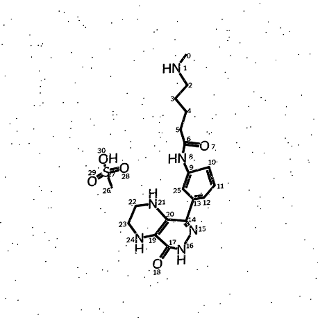 CNCCCCC(=O)Nc1cccc(-c2n[nH]c(=O)c3c2NCCN3)c1.CS(=O)(=O)O